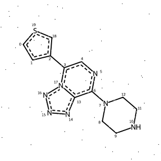 c1cc(-c2cnc(N3CCNCC3)c3nnnn23)cs1